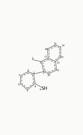 Cc1c(-c2ccccc2S)ccc2ccccc12